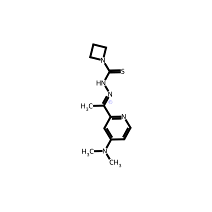 C/C(=N\NC(=S)N1CCC1)c1cc(N(C)C)ccn1